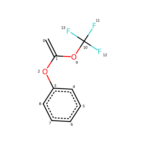 C=C(Oc1ccccc1)OC(F)(F)F